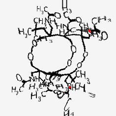 CC(=O)NCC1(CC(C)(C)C)COCOCC(CNC(C)=O)(CC(C)(C)C)CC2(CNC(C)=O)COCOCC(CNC(C)=O)(C1)CC(CNC(C)=O)(C(C)(C)C)COCOCC(CNC(C)=O)(C(C)(C)C)C2